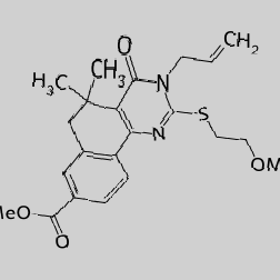 C=CCn1c(SCCOC)nc2c(c1=O)C(C)(C)Cc1cc(C(=O)OC)ccc1-2